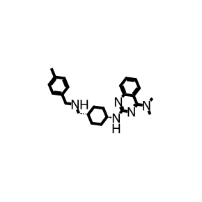 Cc1ccc(CNC[C@H]2CC[C@@H](Nc3nc(N(C)C)c4ccccc4n3)CC2)cc1